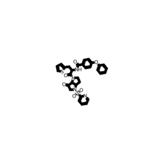 O=C(NC(Cc1cccs1)C(=O)N1CCC2C1C(=O)CN2S(=O)(=O)c1ccccn1)c1ccc(Oc2ccccc2)cc1